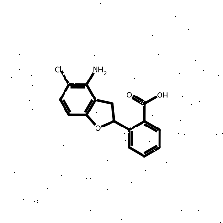 Nc1c(Cl)ccc2c1CC(c1ccccc1C(=O)O)O2